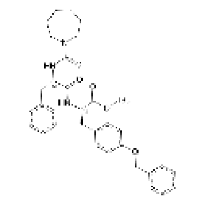 CC(C)(C)OC(=O)[C@@H](Cc1ccc(OCc2ccccc2)cc1)NC(=O)[C@H](Cc1ccccc1)NC(=O)N1CCCCCC1